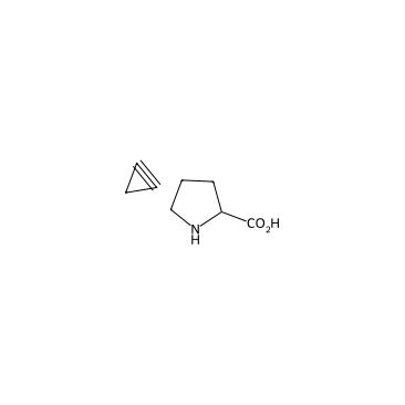 C1#CC1.O=C(O)C1CCCN1